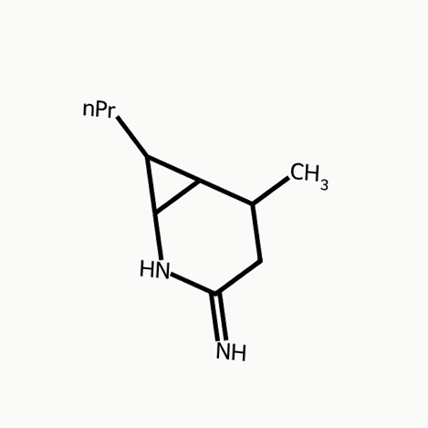 CCCC1C2NC(=N)CC(C)C12